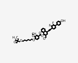 CCC1(COCCCCCCOc2ccc(C(=O)Oc3c(C=O)cc(C#Cc4ccc(-c5ccc(O)cc5)c(F)c4F)c4ccccc34)cc2OC)COC1